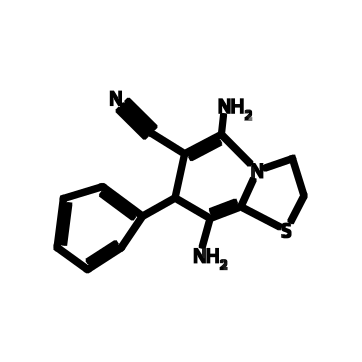 N#CC1=C(N)N2CCSC2=C(N)C1c1ccccc1